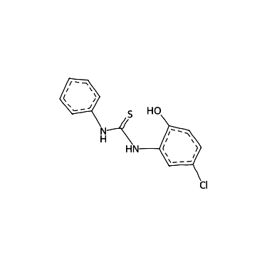 Oc1ccc(Cl)cc1NC(=S)Nc1ccccc1